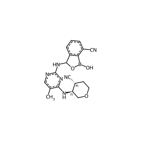 Cc1cnc(NC2OB(O)c3c(C#N)cccc32)nc1N[C@@H]1COCC[C@H]1C#N